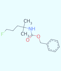 CC(C)(CCCF)NC(=O)OCc1ccccc1